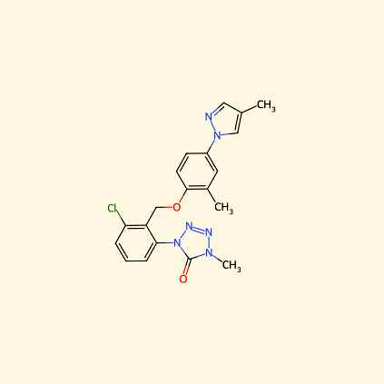 Cc1cnn(-c2ccc(OCc3c(Cl)cccc3-n3nnn(C)c3=O)c(C)c2)c1